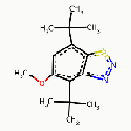 COc1cc(C(C)(C)C)c2snnc2c1C(C)(C)C